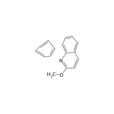 COc1ccc2ccccc2n1.c1ccccc1